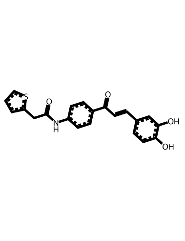 O=C(Cc1cccs1)Nc1ccc(C(=O)/C=C/c2ccc(O)c(O)c2)cc1